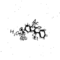 CCCCN(C)S(=O)(=O)c1ccc2c(c1)C(=C(OCC)c1ccccc1)C(=O)N2C(C)=O